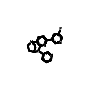 Fc1cncc(-c2ccc3c(n2)N(c2cccnc2)C2CCN3CC2)c1